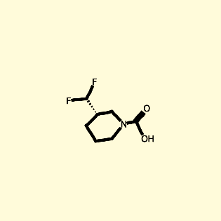 O=C(O)N1CCC[C@H](C(F)F)C1